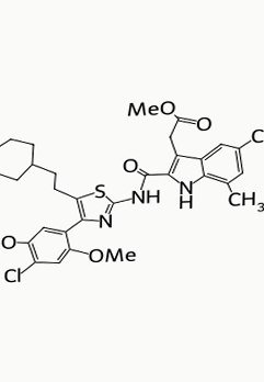 COC(=O)Cc1c(C(=O)Nc2nc(-c3cc(OC)c(Cl)cc3OC)c(CCC3CCCCC3)s2)[nH]c2c(C)cc(C)cc12